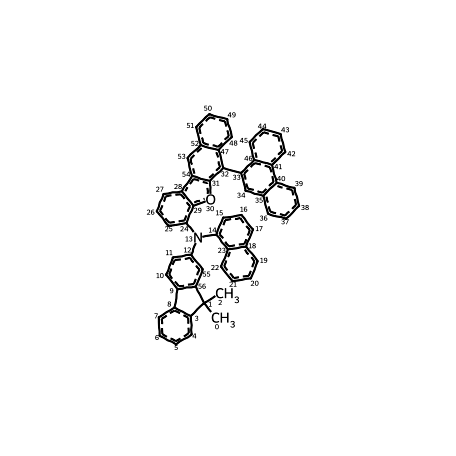 CC1(C)c2ccccc2-c2ccc(N(c3cccc4ccccc34)c3cccc4c3oc3c(-c5cc6ccccc6c6ccccc56)c5ccccc5cc34)cc21